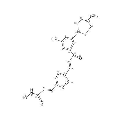 CN1CCN(c2cc(Cl)cc(C(=O)C=Cc3ccc(C=CC(=O)NO)cc3)c2)CC1